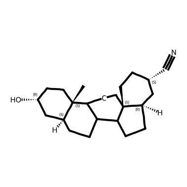 C[C@]12CC[C@@H](O)C[C@@H]1CCC1C3CC[C@@H]4C[C@@H](C#N)CC[C@]34CCC12